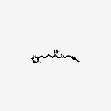 CC#CCCOCC(N)CCCCc1nncs1